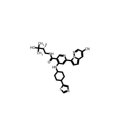 CC(C)(O)[C@H](F)CNC(=O)c1cnc(-c2ccc3cc(C#N)cnn23)cc1NC1CCC(c2cncs2)CC1